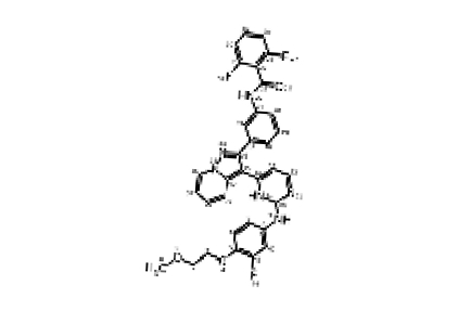 COCCOc1ccc(NC2N=CC=C(c3c(-c4cccc(NC(=O)c5c(F)cccc5F)c4)nn4ccccc34)N2)cc1F